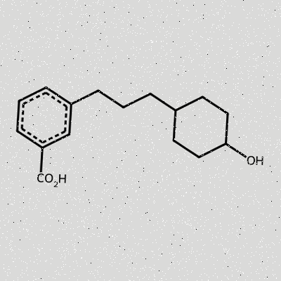 O=C(O)c1cccc(CCCC2CCC(O)CC2)c1